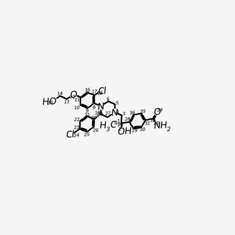 C[C@](O)(CN1CCN(c2ccc(OCCO)cc2Cl)[C@H](c2ccc(Cl)cc2)C1)c1ccc(C(N)=O)cc1